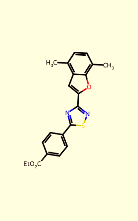 CCOC(=O)c1ccc(-c2nc(-c3cc4c(C)ccc(C)c4o3)ns2)cc1